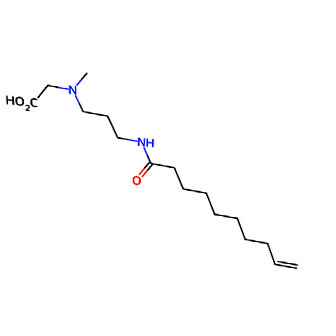 C=CCCCCCCCC(=O)NCCCN(C)CC(=O)O